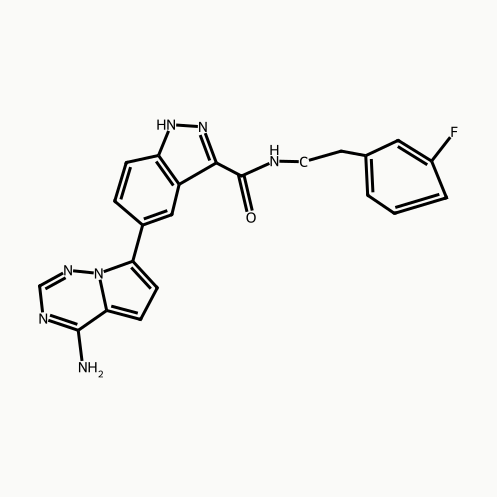 Nc1ncnn2c(-c3ccc4[nH]nc(C(=O)NCCc5cccc(F)c5)c4c3)ccc12